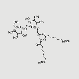 CCCCCCCCCCCCCCCC(=O)OC[C@H](CO[C@@H]1O[C@H](CO[C@H]2O[C@H](CO)[C@H](O)C(O)C2O)[C@H](O)C(O)C1O)OC(=O)CCCCCCCCCCCCCCC